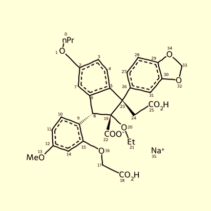 CCCOc1ccc2c(c1)[C@@H](c1ccc(OC)cc1OCC(=O)O)[C@](OCC)(C(=O)[O-])[C@@]2(CC(=O)O)c1ccc2c(c1)OCO2.[Na+]